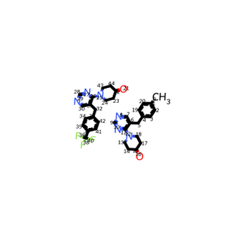 Cc1ccc(Cc2cncnc2N2CCC(=O)CC2)cc1.O=C1CCN(c2ncncc2Cc2ccc(C(F)(F)F)cc2)CC1